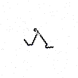 CCCCC/C=C\C/C=C\CCCCCCCCOC[C@H](CN1CCCC1)OCCCCCCCC/C=C\C/C=C\CCCCC